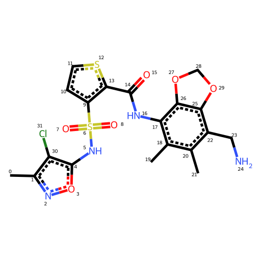 Cc1noc(NS(=O)(=O)c2ccsc2C(=O)Nc2c(C)c(C)c(CN)c3c2OCO3)c1Cl